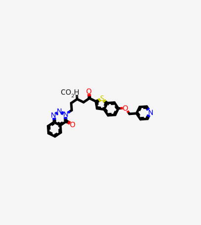 O=C(CC(CCn1nnc2ccccc2c1=O)C(=O)O)c1cc2ccc(OCc3ccncc3)cc2s1